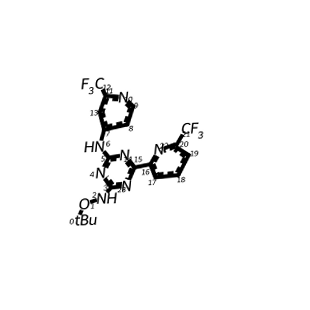 CC(C)(C)ONc1nc(Nc2ccnc(C(F)(F)F)c2)nc(-c2cccc(C(F)(F)F)n2)n1